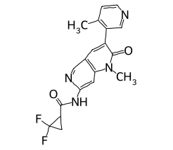 Cc1ccncc1-c1cc2cnc(NC(=O)C3CC3(F)F)cc2n(C)c1=O